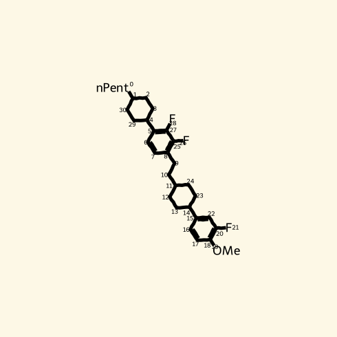 CCCCCC1CCC(c2ccc(CCC3CCC(c4ccc(OC)c(F)c4)CC3)c(F)c2F)CC1